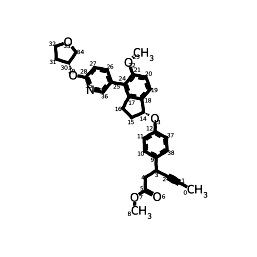 CC#CC(CC(=O)OC)c1ccc(O[C@@H]2CCc3c2ccc(OC)c3-c2ccc(O[C@@H]3CCOC3)nc2)cc1